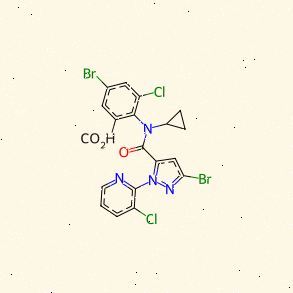 O=C(O)c1cc(Br)cc(Cl)c1N(C(=O)c1cc(Br)nn1-c1ncccc1Cl)C1CC1